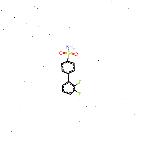 NS(=O)(=O)c1ccc(-c2cccc(F)c2F)cc1